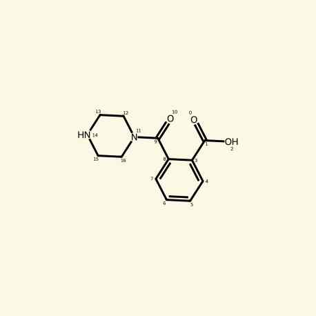 O=C(O)c1ccccc1C(=O)N1CCNCC1